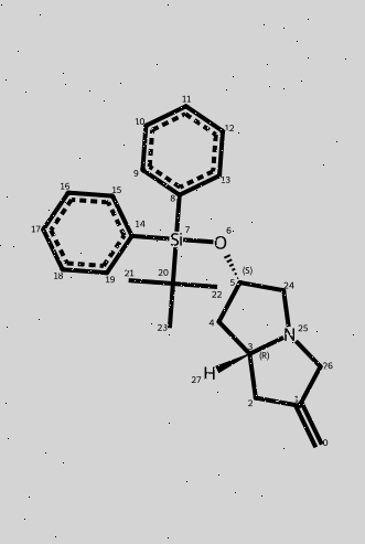 C=C1C[C@@H]2C[C@H](O[Si](c3ccccc3)(c3ccccc3)C(C)(C)C)CN2C1